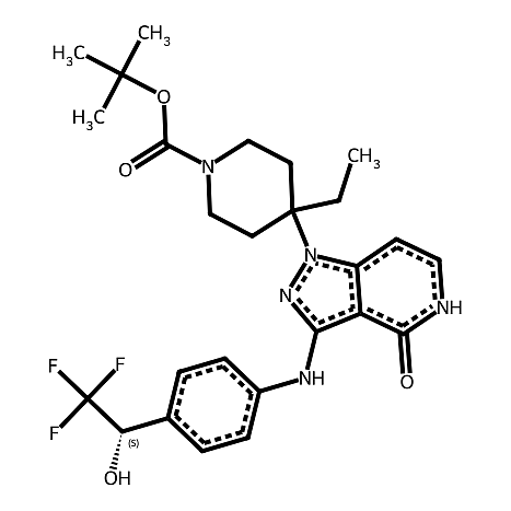 CCC1(n2nc(Nc3ccc([C@H](O)C(F)(F)F)cc3)c3c(=O)[nH]ccc32)CCN(C(=O)OC(C)(C)C)CC1